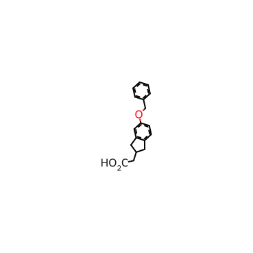 O=C(O)CC1Cc2ccc(OCc3ccccc3)cc2C1